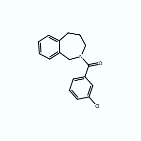 O=C(c1cccc(Cl)c1)N1CCCc2ccccc2C1